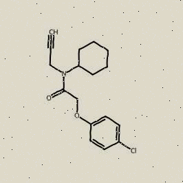 C#CCN(C(=O)COc1ccc(Cl)cc1)C1CCCCC1